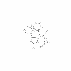 CCN(CC)C1CC(Br)CC1N(C(=O)C1CC1Br)c1ccccc1